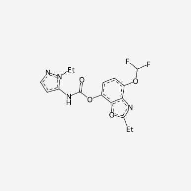 CCc1nc2c(OC(F)F)ccc(OC(=O)Nc3ccnn3CC)c2o1